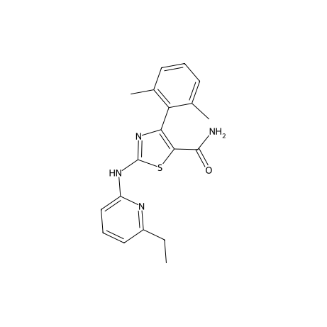 CCc1cccc(Nc2nc(-c3c(C)cccc3C)c(C(N)=O)s2)n1